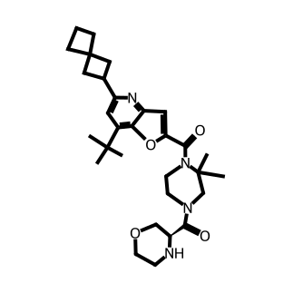 CC(C)(C)c1cc(C2CC3(CCC3)C2)nc2cc(C(=O)N3CCN(C(=O)[C@@H]4COCCN4)CC3(C)C)oc12